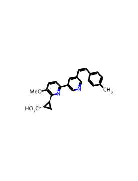 COc1ccc(-c2cncc(/C=C\c3ccc(C)cc3)c2)nc1[C@H]1C[C@@H]1C(=O)O